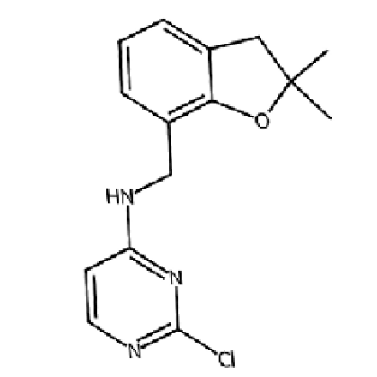 CC1(C)Cc2cccc(CNc3ccnc(Cl)n3)c2O1